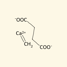 O=C([O-])CCC(=O)[O-].[CH2]=[Ca+2]